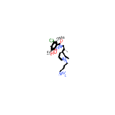 CCc1cc(Cl)c(OC)c(C(=O)NC[C@H](C)[C@@H]2CCCN(CCCCN)C2C)c1O